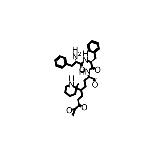 CC1(C(CCC(=O)C2CO2)CCC([C]=O)NC(=O)[C@H](Cc2ccccc2)NC(=O)[C@@H](N)Cc2ccccc2)CCCCN1